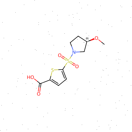 CO[C@@H]1CCN(S(=O)(=O)c2ccc(C(=O)O)s2)C1